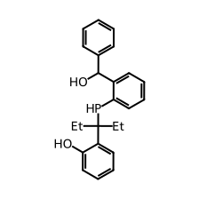 CCC(CC)(Pc1ccccc1C(O)c1ccccc1)c1ccccc1O